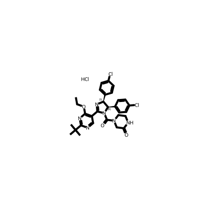 CCOc1nc(C(C)(C)C)ncc1C1=N[C@@H](c2ccc(Cl)cc2)[C@@H](c2ccc(Cl)cc2)N1C(=O)N1CCNC(=O)C1.Cl